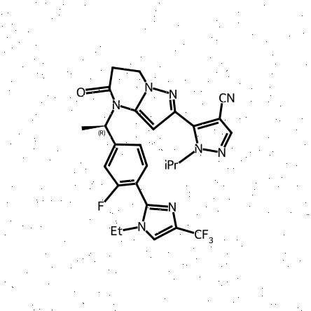 CCn1cc(C(F)(F)F)nc1-c1ccc([C@@H](C)N2C(=O)CCn3nc(-c4c(C#N)cnn4C(C)C)cc32)cc1F